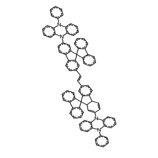 C1=CC2c3ccc(/C=C/c4ccc5c(c4)C4(c6ccccc6-c6ccccc64)c4cc(N6c7ccccc7N(c7ccccc7)c7ccccc76)ccc4-5)cc3C3(c4ccccc4-c4ccccc43)C2C=C1N1c2ccccc2N(c2ccccc2)c2ccccc21